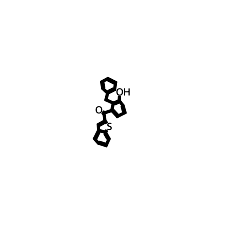 O=C(c1cc2ccccc2s1)c1cccc(O)c1Cc1ccccc1